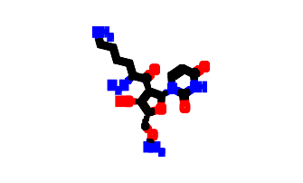 NCCCC[C@H](N)C(=O)[C@@H]1[C@H](O)[C@@H](CON)O[C@H]1n1ccc(=O)[nH]c1=O